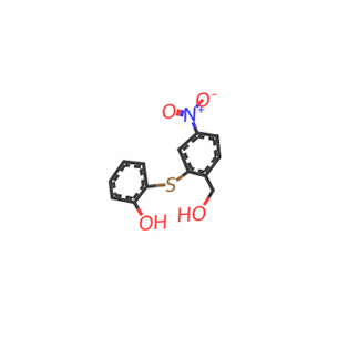 O=[N+]([O-])c1ccc(CO)c(Sc2ccccc2O)c1